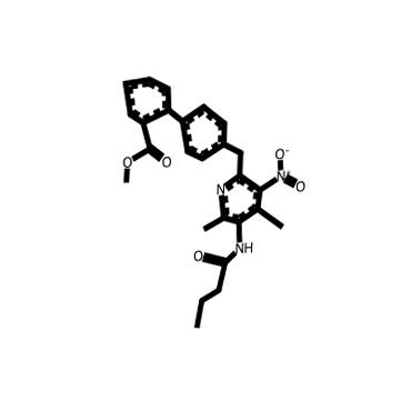 CCCC(=O)Nc1c(C)nc(Cc2ccc(-c3ccccc3C(=O)OC)cc2)c([N+](=O)[O-])c1C